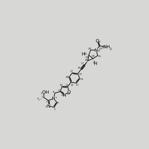 C[C@H](O)c1nccn1Cc1cc(-c2ccc(C#C[C@H]3[C@H]4CN(C(N)=O)C[C@@H]34)cc2)on1